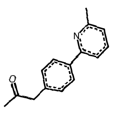 CC(=O)Cc1ccc(-c2cccc(C)n2)cc1